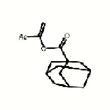 C=C(OC(=O)C12CC3CC(CC(C3)C1)C2)C(C)=O